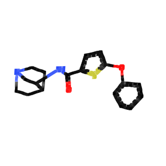 O=C(NC1CN2CCC1CC2)c1ccc(Oc2ccccc2)s1